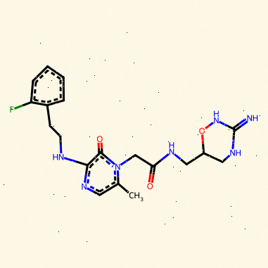 Cc1cnc(NCCc2ccccc2F)c(=O)n1CC(=O)NCC1CNC(=N)NO1